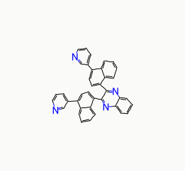 c1cncc(-c2ccc(-c3nc4ccccc4nc3-c3ccc(-c4cccnc4)c4ccccc34)c3ccccc23)c1